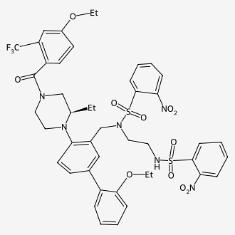 CCOc1ccc(C(=O)N2CCN(c3ccc(-c4ccccc4OCC)cc3CN(CCNS(=O)(=O)c3ccccc3[N+](=O)[O-])S(=O)(=O)c3ccccc3[N+](=O)[O-])[C@H](CC)C2)c(C(F)(F)F)c1